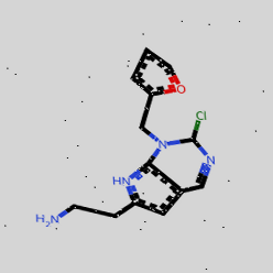 NCCc1cc2c([nH]1)N(Cc1ccco1)C(Cl)N=C2